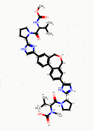 COC(=O)N[C@H](C(=O)N1CCCC1c1nc(-c2ccc3c(c2)COCc2cc(-c4cnc([C@@H]5CCCN5C(=O)[C@H](C(C)C)N(C)C(=O)O)[nH]4)ccc2-3)c[nH]1)C(C)C